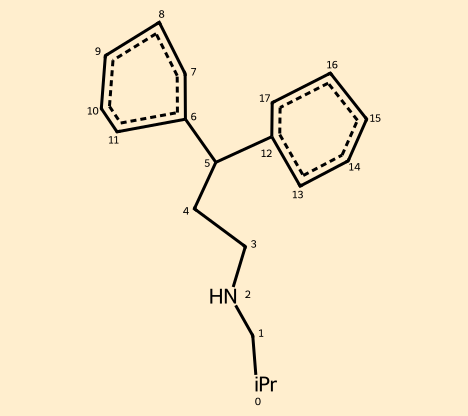 CC(C)CNCCC(c1ccccc1)c1ccccc1